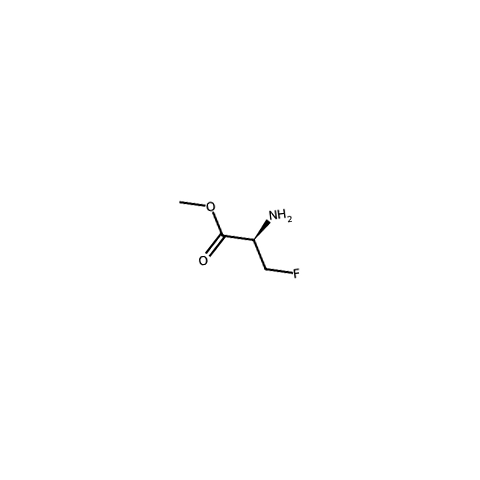 COC(=O)[C@@H](N)CF